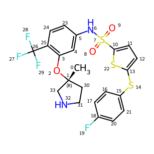 C[C@@]1(Oc2cc(NS(=O)(=O)c3ccc(Sc4ccc(F)cc4)s3)ccc2C(F)(F)F)CCNC1